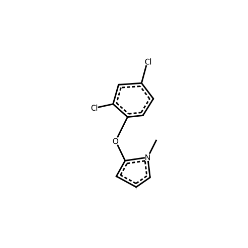 Cn1c[c]cc1Oc1ccc(Cl)cc1Cl